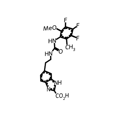 COc1c(F)c(F)c(F)c(C)c1NC(=O)NCCc1ccc2nc(C(=O)O)[nH]c2c1